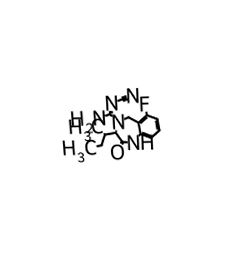 CC[C@H](C)[C@H]1C(=O)Nc2cccc(F)c2CN1/C(N)=N\C#N